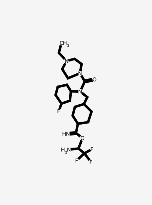 CCN1CCN(C(=O)N(CC2CCC(C(=N)OC(N)C(F)(F)F)CC2)C2CCCC(F)C2)CC1